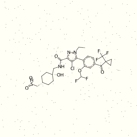 CCn1nc(C(=O)NC[C@]2(O)CC[C@@H](C[SH](=O)=O)CC2)c(Cl)c1-c1ccc(C(=O)C2(C(F)(F)F)CC2)cc1OC(F)F